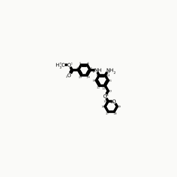 COC(=O)c1ccc(Nc2ccc(COC3CCCCO3)cc2N)cc1